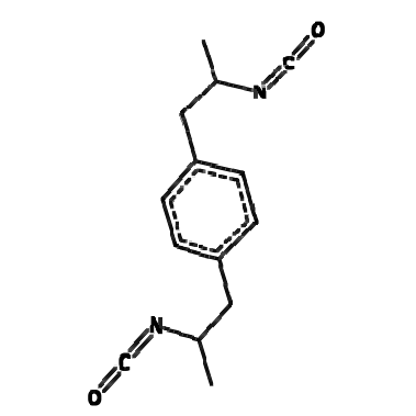 CC(Cc1ccc(CC(C)N=C=O)cc1)N=C=O